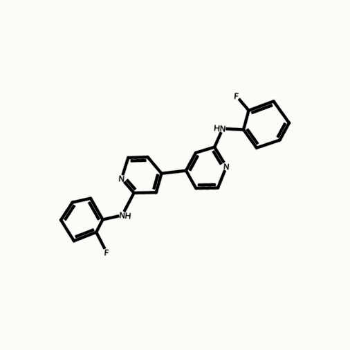 Fc1ccccc1Nc1cc(-c2ccnc(Nc3ccccc3F)c2)ccn1